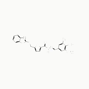 COc1cc(/C=N/NC(=O)c2ccc(CSc3nc4ccccc4s3)o2)cc(Br)c1O